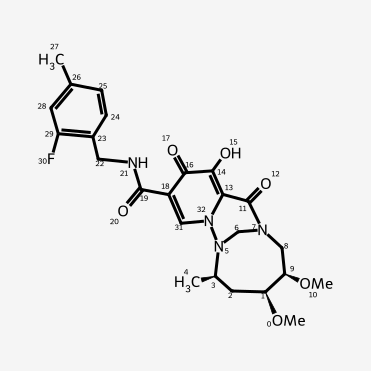 CO[C@H]1C[C@@H](C)N2CN(C[C@H]1OC)C(=O)c1c(O)c(=O)c(C(=O)NCc3ccc(C)cc3F)cn12